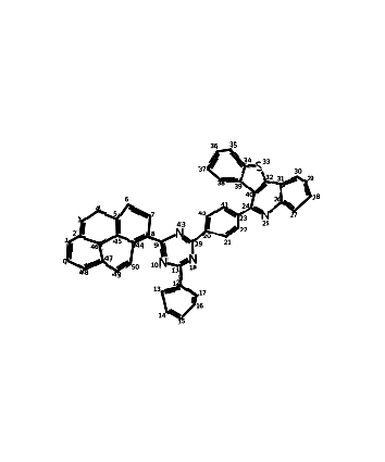 C1=CC2=CCc3ccc(-c4nc(-c5ccccc5)nc(-c5ccc(-c6nc7ccccc7c7sc8ccccc8c67)cc5)n4)c4c3C2C(=C1)C=C4